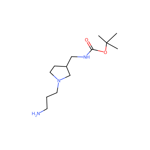 CC(C)(C)OC(=O)NCC1CCN(CCCN)C1